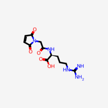 N=C(N)NCCC[C@H](NC(=O)CN1C(=O)C=CC1=O)C(=O)O